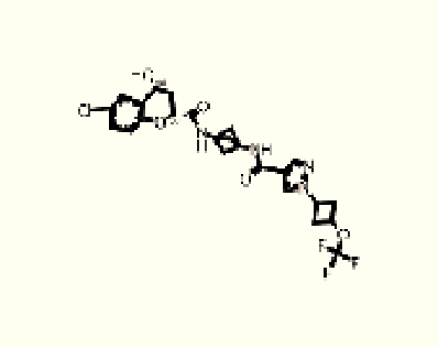 O=C(NC12CC(NC(=O)[C@H]3C[C@@H](O)c4cc(Cl)ccc4O3)(C1)C2)c1cnn(C2CC(OC(F)(F)F)C2)c1